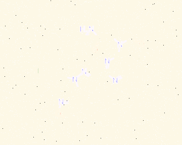 NC(=O)C1CCC(=O)N1c1nc(-c2cc(-c3ccon3)n(Cc3ccccc3F)n2)ncc1F